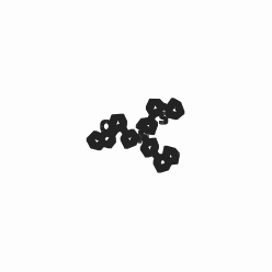 c1cc(-c2cccc3oc4c5ccccc5ccc4c23)cc(N(c2ccc(-c3cccc4ccccc34)cc2)c2ccc(-c3cccc4c3sc3ccccc34)cc2)c1